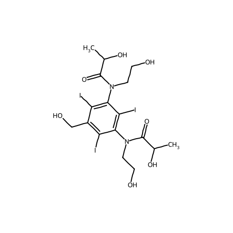 CC(O)C(=O)N(CCO)c1c(I)c(CO)c(I)c(N(CCO)C(=O)C(C)O)c1I